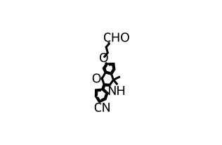 CC1(C)c2ccc(OCCCC=O)cc2C(=O)c2c1[nH]c1cc(C#N)ccc21